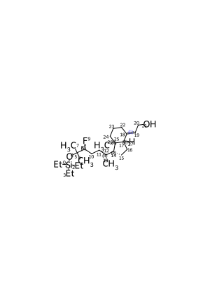 CC[Si](CC)(CC)OC(C)(C)[C@@H](F)CC[C@@H](C)[C@H]1CC[C@H]2/C(=C/CO)CCC[C@]12C